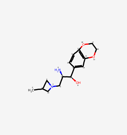 CC1CN(C[C@@H](N)[C@H](O)c2ccc3c(c2)OCCO3)C1